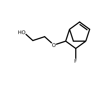 OCCOC1C2C=CC(C2)C1F